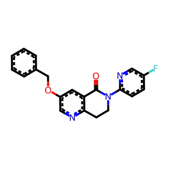 O=C1c2cc(OCc3ccccc3)cnc2CCN1c1ccc(F)cn1